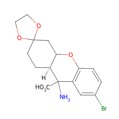 NC1(C(=O)O)c2cc(Br)ccc2OC2CC3(CC[C@@H]21)OCCO3